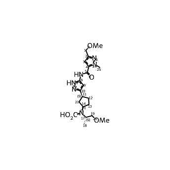 COCc1cc(C(=O)Nc2cc([C@H]3CC[C@@H](N(C(=O)O)[C@@H](C)COC)C3)n[nH]2)n(C)n1